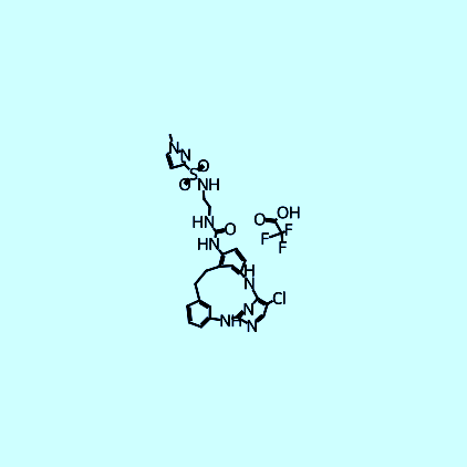 Cn1ccc(S(=O)(=O)NCCNC(=O)Nc2ccc3cc2CCc2cccc(c2)Nc2ncc(Cl)c(n2)N3)n1.O=C(O)C(F)(F)F